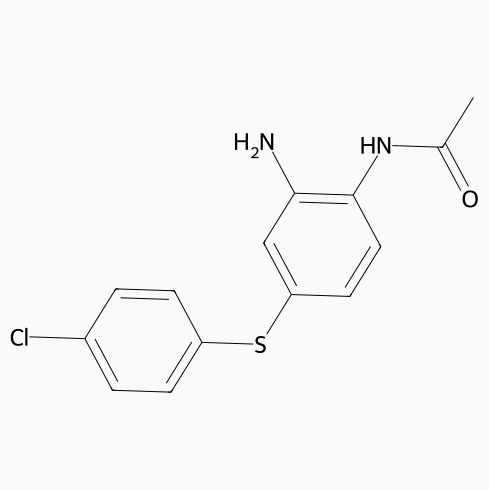 CC(=O)Nc1ccc(Sc2ccc(Cl)cc2)cc1N